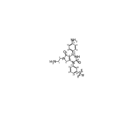 NCCN1CC2=C(C1=O)[C@@H](c1ccc(N)cc1)NC(=O)N2c1cccc(C(F)(F)F)c1